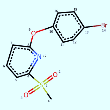 CS(=O)(=O)c1cccc(Oc2ccc(Br)cc2)n1